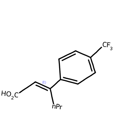 CCC/C(=C\C(=O)O)c1ccc(C(F)(F)F)cc1